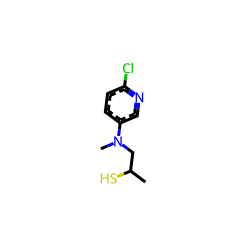 CC(S)CN(C)c1ccc(Cl)nc1